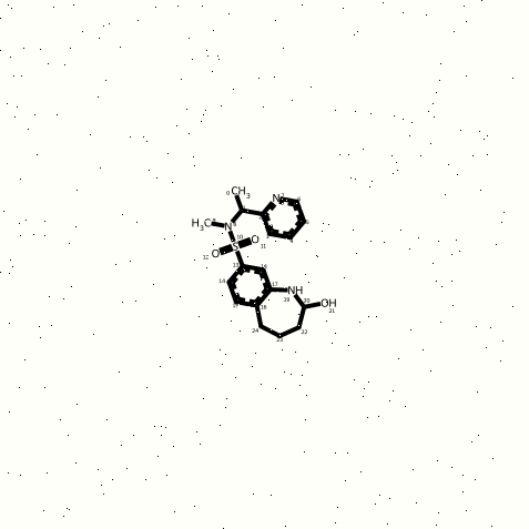 CC(c1ccccn1)N(C)S(=O)(=O)c1ccc2c(c1)NC(O)CCC2